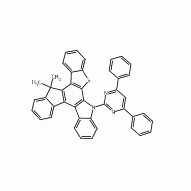 CC1(C)c2ccccc2-c2c1c1c3ccccc3sc1c1c2c2ccccc2n1-c1nc(-c2ccccc2)cc(-c2ccccc2)n1